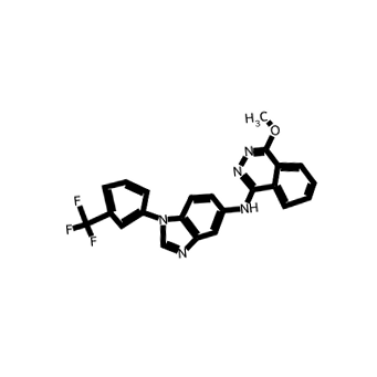 COc1nnc(Nc2ccc3c(c2)ncn3-c2cccc(C(F)(F)F)c2)c2ccccc12